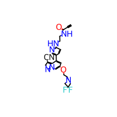 C#CC(=O)NCCNc1ccc(-c2cc(OCCN3CC(F)(F)C3)cn3ncc(C#N)c23)cn1